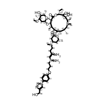 CC[C@H]1OC(=O)[C@H](C)[C@@H](O[C@H]2C[C@@](C)(OC)[C@@H](O)[C@H](C)O2)[C@H](C)[C@@H](O[C@H]2C[C@@H](N(C)CC/C(N)=C/N(N)CCCOc3ccc(-n4cc(CO)nn4)cc3)C[C@@H](C)O2)[C@](C)(O)C[C@@H](C)CN(C)[C@H](C)[C@@H](O)[C@]1(C)O